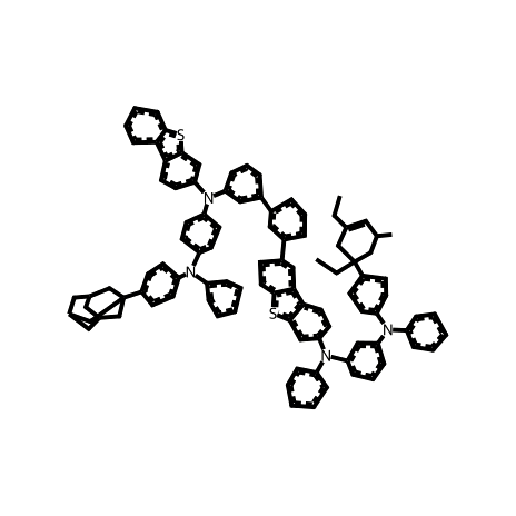 CCC1=CC(C)CC(CC)(c2ccc(N(c3ccccc3)c3cccc(N(c4ccccc4)c4ccc5c(c4)sc4ccc(-c6cccc(-c7cccc(N(c8ccc(N(c9ccccc9)c9ccc(C%10%11CC%12CC(CC(C%12)C%10)C%11)cc9)cc8)c8ccc9c(c8)sc8ccccc89)c7)c6)cc45)c3)cc2)C1